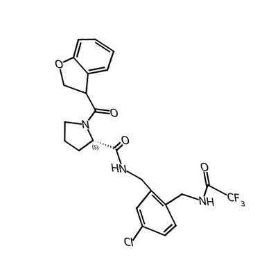 O=C(NCc1cc(Cl)ccc1CNC(=O)C(F)(F)F)[C@@H]1CCCN1C(=O)C1COc2ccccc21